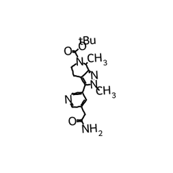 CC1c2nn(C)c(-c3cncc(CC(N)=O)c3)c2CCN1C(=O)OC(C)(C)C